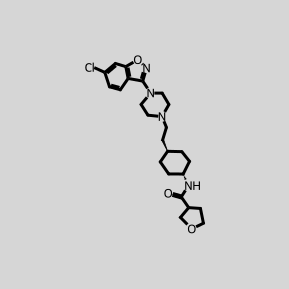 O=C(N[C@H]1CC[C@H](CCN2CCN(c3noc4cc(Cl)ccc34)CC2)CC1)C1CCOC1